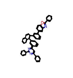 c1ccc(-c2cc(-c3cccc(-c4c(-c5cccc(-c6ccc7oc(-c8ccccc8)nc7c6)c5)ccc5ccccc45)c3)nc(-c3ccccc3)n2)cc1